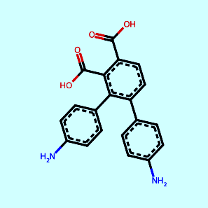 Nc1ccc(-c2ccc(C(=O)O)c(C(=O)O)c2-c2ccc(N)cc2)cc1